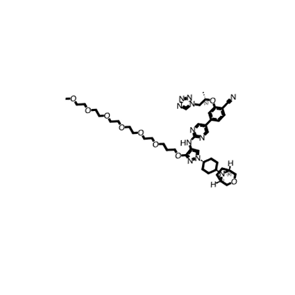 COCCOCCOCCOCCOCCOCCCOc1nn([C@H]2CC[C@H](N3[C@@H]4CC[C@H]3COC4)CC2)cc1Nc1ncc(-c2ccc(C#N)c(O[C@@H](C)Cn3cnnn3)c2)cn1